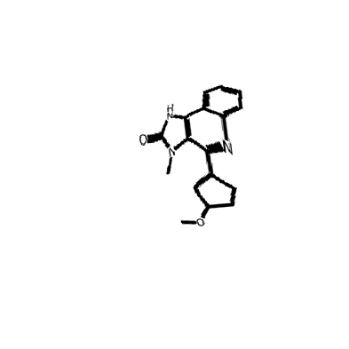 COC1CCC(c2nc3ccccc3c3[nH]c(=O)n(C)c23)C1